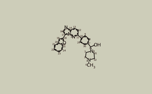 CN1CCN(C(O)c2ccc(-c3ccc4ncc(-c5cc6ccccc6o5)n4n3)cc2)CC1